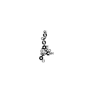 Cc1cc(N2CCN(C(=O)CN3CC[S+]([O-])CC3)CC2)cc2[nH]c(-c3c(NCC(O)c4cccc(Cl)c4)cc[nH]c3=O)nc12